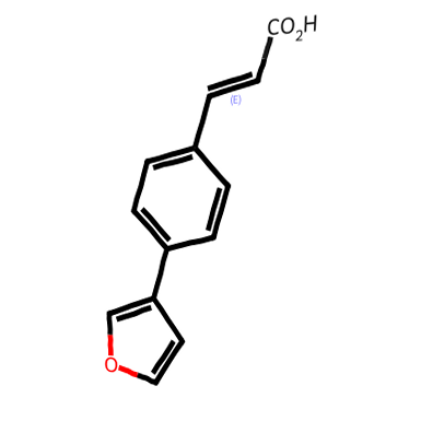 O=C(O)/C=C/c1ccc(-c2ccoc2)cc1